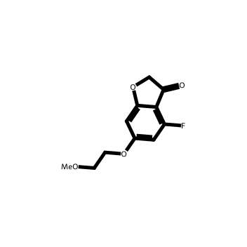 COCCOc1cc(F)c2c(c1)OCC2=O